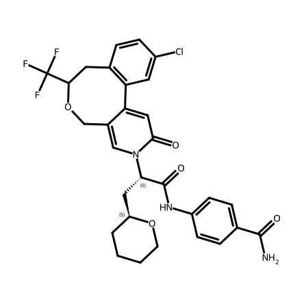 NC(=O)c1ccc(NC(=O)[C@H](C[C@@H]2CCCCO2)n2cc3c(cc2=O)-c2cc(Cl)ccc2CC(C(F)(F)F)OC3)cc1